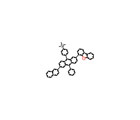 C[Si](C)(C)c1ccc(-c2c3ccc(-c4ccc5ccccc5c4)cc3c(-c3ccccc3)c3ccc(-c4cccc5c4oc4ccccc45)cc23)cc1